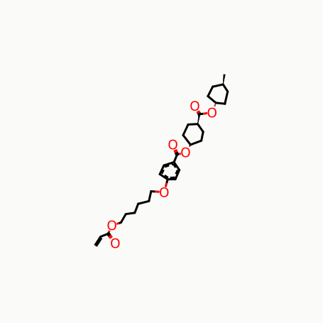 C=CC(=O)OCCCCCCOc1ccc(C(=O)O[C@H]2CC[C@H](C(=O)O[C@H]3CC[C@H](C)CC3)CC2)cc1